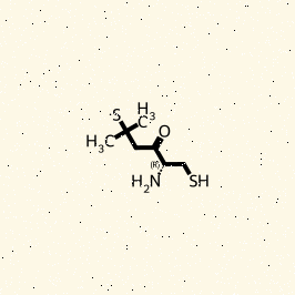 CC(C)([S])CC(=O)[C@@H](N)CS